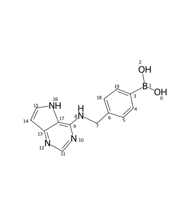 OB(O)c1ccc(CNc2ncnc3cc[nH]c23)cc1